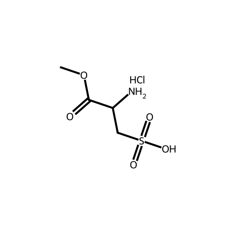 COC(=O)C(N)CS(=O)(=O)O.Cl